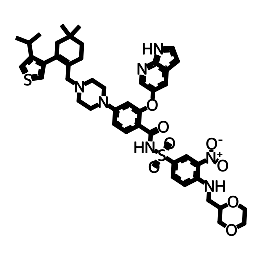 CC(C)c1cscc1C1=C(CN2CCN(c3ccc(C(=O)NS(=O)(=O)c4ccc(NCC5COCCO5)c([N+](=O)[O-])c4)c(Oc4cnc5[nH]ccc5c4)c3)CC2)CCC(C)(C)C1